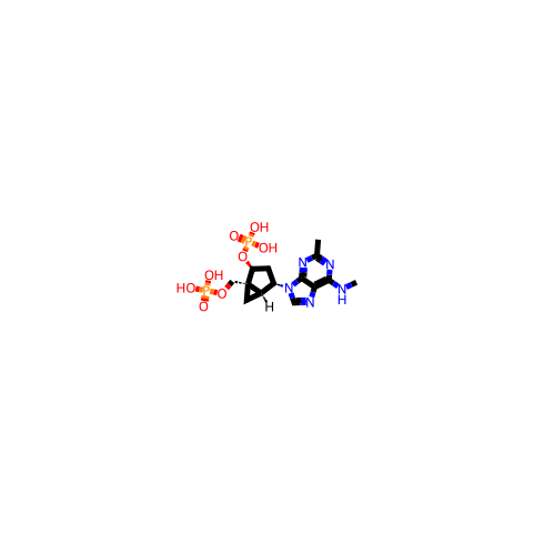 CNc1nc(C)nc2c1ncn2[C@H]1C[C@H](OP(=O)(O)O)[C@]2(COP(=O)(O)O)C[C@H]12